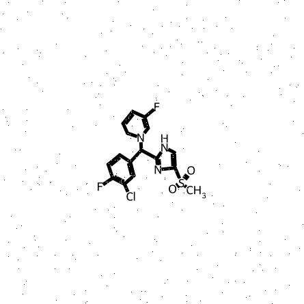 CS(=O)(=O)c1c[nH]c(C(c2ccc(F)c(Cl)c2)N2C=C(F)C=CC2)n1